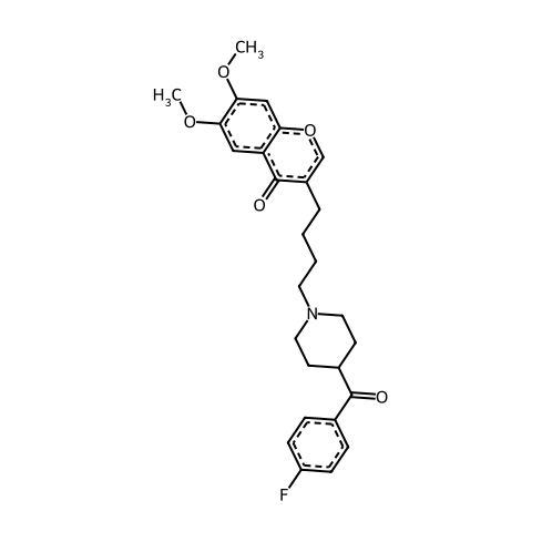 COc1cc2occ(CCCCN3CCC(C(=O)c4ccc(F)cc4)CC3)c(=O)c2cc1OC